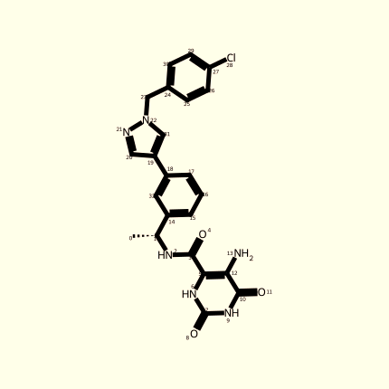 C[C@@H](NC(=O)c1[nH]c(=O)[nH]c(=O)c1N)c1cccc(-c2cnn(Cc3ccc(Cl)cc3)c2)c1